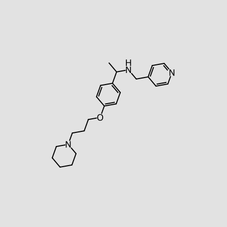 CC(NCc1ccncc1)c1ccc(OCCCN2CCCCC2)cc1